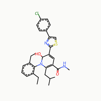 CCc1cccc(CC)c1N1C(CC(C)C)=C(C(=O)NC)C=C(c2nc(-c3ccc(Cl)cc3)cs2)C1O